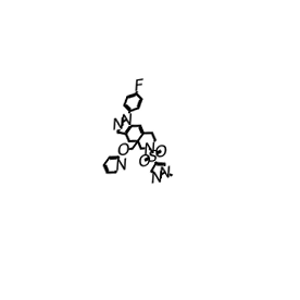 Cn1cc(S(=O)(=O)N2CCC3=Cc4c(cnn4-c4ccc(F)cc4)CC3(COc3ccccn3)C2)cn1